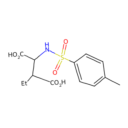 CCC(C(=O)O)C(NS(=O)(=O)c1ccc(C)cc1)C(=O)O